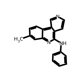 Cc1ccc2c(c1)nc(Nc1ccccc1)c1ccncc12